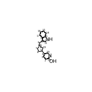 Oc1ccc(C2CCN(Cc3c[nH]c4ccccc34)C2)cn1